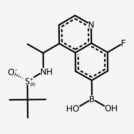 CC(N[S@@+]([O-])C(C)(C)C)c1ccnc2c(F)cc(B(O)O)cc12